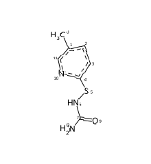 Cc1ccc(SNC(N)=O)nc1